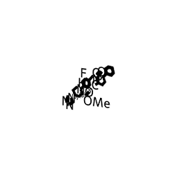 COC(=O)[C@@H]1C[C@@H](n2cnnc2)CCN1c1ccc(CN2C(C)CCC(c3ccccc3)S2(=O)=O)c(F)c1